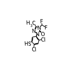 Cc1nn(-c2cc(S)c(Cl)cc2Cl)c(=O)n1C(F)F